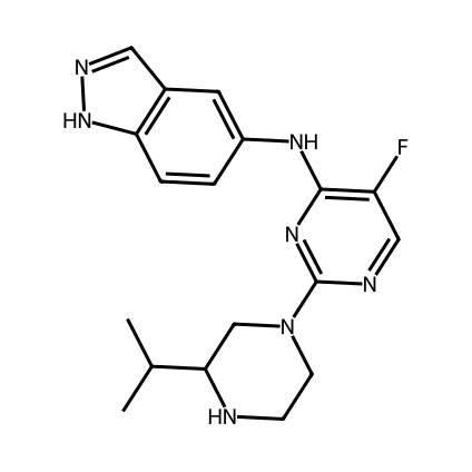 CC(C)C1CN(c2ncc(F)c(Nc3ccc4[nH]ncc4c3)n2)CCN1